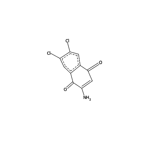 NC1=CC(=O)c2cc(Cl)c(Cl)cc2C1=O